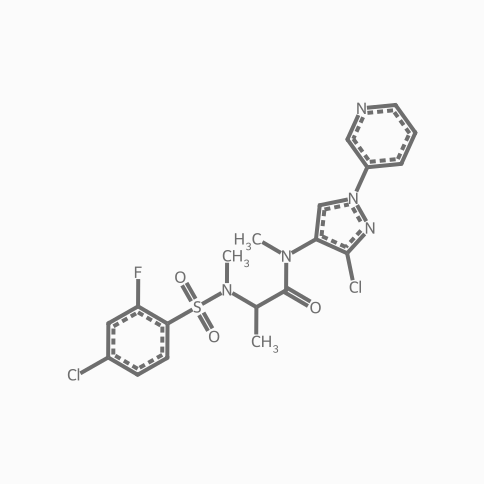 CC(C(=O)N(C)c1cn(-c2cccnc2)nc1Cl)N(C)S(=O)(=O)c1ccc(Cl)cc1F